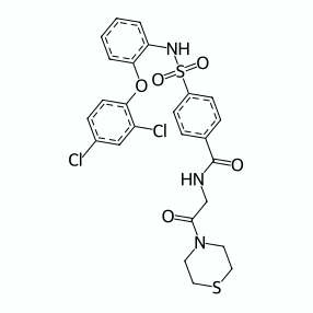 O=C(NCC(=O)N1CCSCC1)c1ccc(S(=O)(=O)Nc2ccccc2Oc2ccc(Cl)cc2Cl)cc1